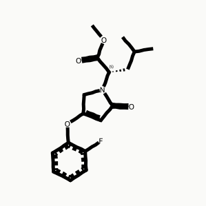 COC(=O)[C@H](CC(C)C)N1CC(Oc2ccccc2F)=CC1=O